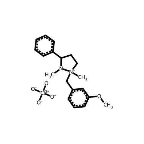 COc1cccc(C[N+]2(C)CCC(c3ccccc3)N2C)c1.[O-][Cl+3]([O-])([O-])[O-]